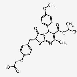 COc1ccc(C2C(C(=O)OC(C)C)=C(C)N=c3s/c(=C\c4ccc(OCC(=O)O)cc4)c(=O)n32)cc1